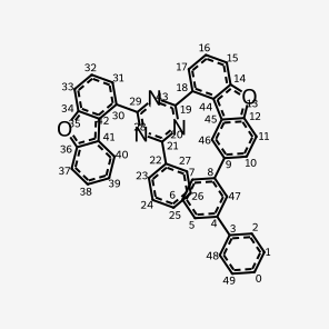 c1ccc(-c2cccc(-c3ccc4oc5cccc(-c6nc(-c7ccccc7)nc(-c7cccc8oc9ccccc9c78)n6)c5c4c3)c2)cc1